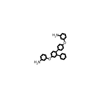 Nc1cccc(Oc2ccc(-c3ccc(Oc4cccc(N)c4)cc3-c3ccccc3)cc2)c1